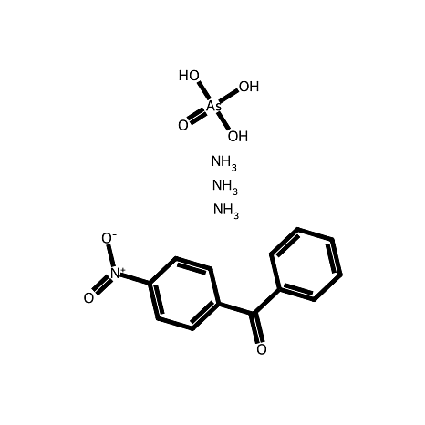 N.N.N.O=C(c1ccccc1)c1ccc([N+](=O)[O-])cc1.O=[As](O)(O)O